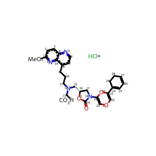 COc1ccc2nccc(CCCN(CC(=O)O)C[C@@H]3CN(C4=COC=C(C5=CC=CCC5)O4)C(=O)O3)c2n1.Cl